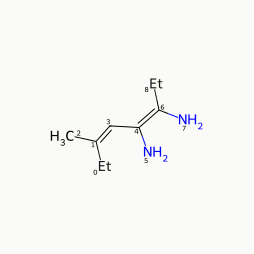 CC/C(C)=C\C(N)=C(\N)CC